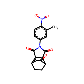 Cc1cc(N2C(=O)C3=C4CCC(C(=O)C4)C3C2=O)ccc1[N+](=O)[O-]